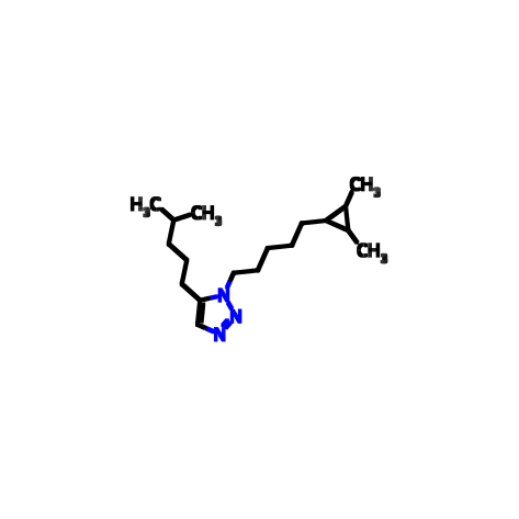 CC(C)CCCc1cnnn1CCCCCC1C(C)C1C